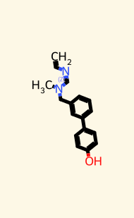 C=C/N=C\N(C)Cc1cccc(-c2ccc(O)cc2)c1